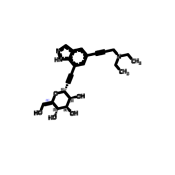 CCN(CC)CC#Cc1cc(C#C[C@H]2O/C(=C/O)[C@@H](O)[C@H](O)[C@@H]2O)c2[nH]ncc2c1